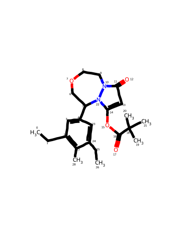 CCc1cc(C2COCCn3c(=O)cc(OC(=O)C(C)(C)C)n32)cc(CC)c1C